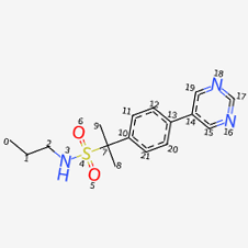 CCCNS(=O)(=O)C(C)(C)c1ccc(-c2cncnc2)cc1